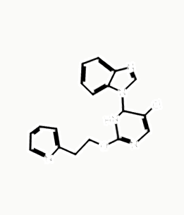 ClC1=CN=C(OCCc2ccccn2)NC1n1cnc2ccccc21